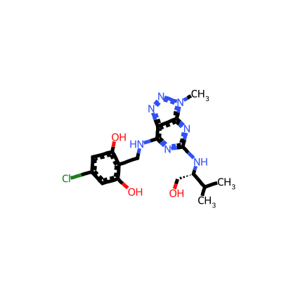 CC(C)[C@H](CO)Nc1nc(NCc2c(O)cc(Cl)cc2O)c2nnn(C)c2n1